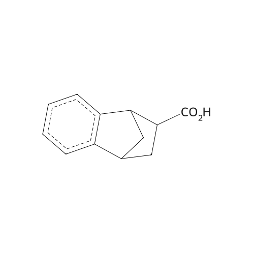 O=C(O)C1CC2CC1c1ccccc12